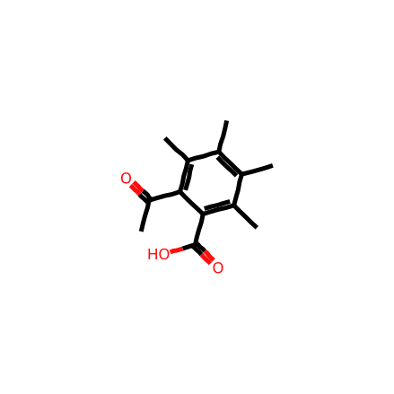 CC(=O)c1c(C)c(C)c(C)c(C)c1C(=O)O